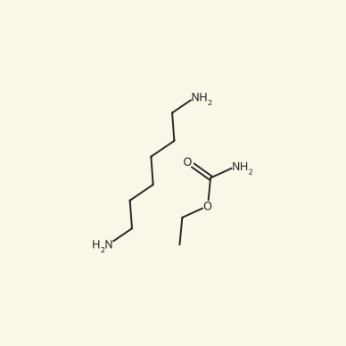 CCOC(N)=O.NCCCCCCN